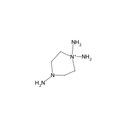 NN1CC[N+](N)(N)CC1